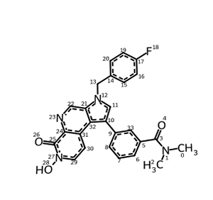 CN(C)C(=O)c1cccc(-c2cn(Cc3ccc(F)cc3)c3cnc4c(=O)n(O)ccc4c23)c1